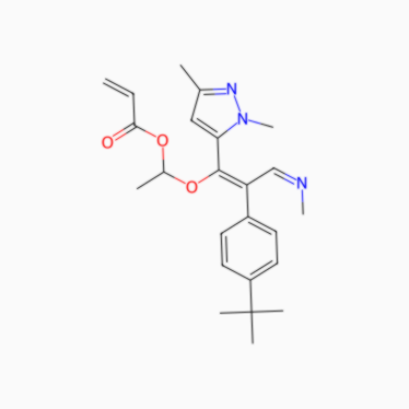 C=CC(=O)OC(C)O/C(=C(/C=N\C)c1ccc(C(C)(C)C)cc1)c1cc(C)nn1C